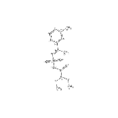 CCN(CC)C(=O)NS(=O)(=O)/C=C(\C)c1cccc(C)c1